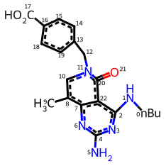 CCCCNc1nc(N)nc2c(C)cn(Cc3ccc(C(=O)O)cc3)c(=O)c12